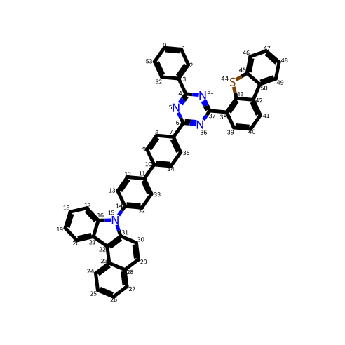 c1ccc(-c2nc(-c3ccc(-c4ccc(-n5c6ccccc6c6c7ccccc7ccc65)cc4)cc3)nc(-c3cccc4c3sc3ccccc34)n2)cc1